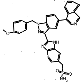 COc1ccc(Cn2nc(-c3nc4ccc(CS(N)(=O)=O)cc4[nH]3)c3cc(-c4cncc5ccccc45)ccc32)cc1